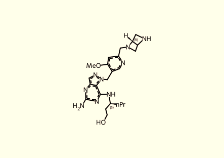 CCC[C@@H](CCO)Nc1nc(N)nc2cnn(Cc3cnc(CN4CC5NC[C@H]54)cc3OC)c12